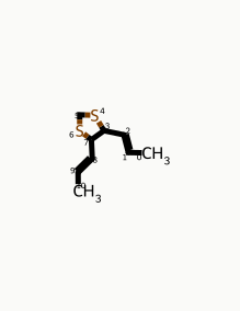 CC=CC1SCSC1C=CC